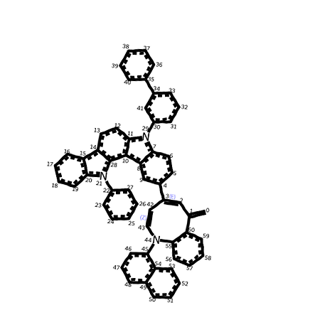 C=C1/C=C(c2ccc3c(c2)c2c(ccc4c5ccccc5n(-c5ccccc5)c42)n3-c2cccc(-c3ccccc3)c2)\C=C/N(c2cccc3ccccc23)c2ccccc21